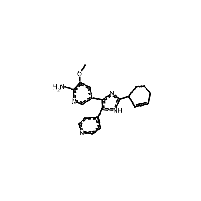 COc1cc(-c2nc(C3C=CCCC3)[nH]c2-c2ccncc2)cnc1N